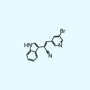 N#CC(=Cc1cncc(Br)c1)c1c[nH]c2ccccc12